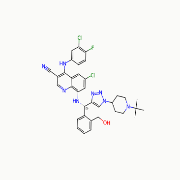 CC(C)(C)N1CCC(n2cc([C@@H](Nc3cc(Cl)cc4c(Nc5ccc(F)c(Cl)c5)c(C#N)cnc34)c3ccccc3CO)nn2)CC1